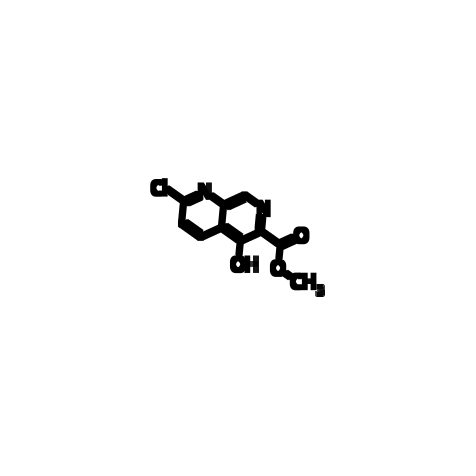 COC(=O)c1ncc2nc(Cl)ccc2c1O